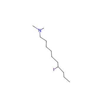 CCCC(I)CCCCCCN(C)C